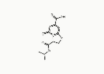 CC(C)OC(=O)C1CSc2cc(C(=O)O)cc(=O)n21